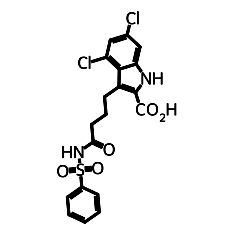 O=C(CCCc1c(C(=O)O)[nH]c2cc(Cl)cc(Cl)c12)NS(=O)(=O)c1ccccc1